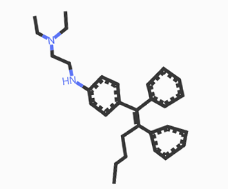 CCCCC(=C(c1ccccc1)c1ccc(NCCN(CC)CC)cc1)c1ccccc1